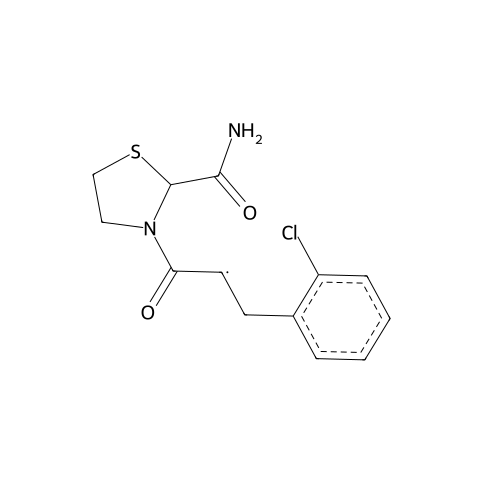 NC(=O)C1SCCN1C(=O)[CH]Cc1ccccc1Cl